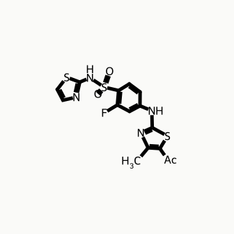 CC(=O)c1sc(Nc2ccc(S(=O)(=O)Nc3nccs3)c(F)c2)nc1C